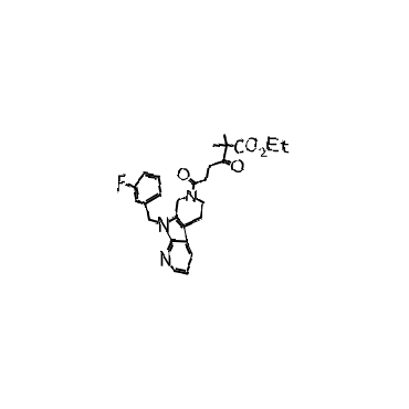 CCOC(=O)C(C)(C)C(=O)CCC(=O)N1CCc2c(n(Cc3cccc(F)c3)c3ncccc23)C1